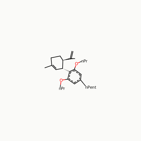 C=C(C)[C@@H]1CCC(C)=C[C@H]1c1c(OCCC)cc(CCCCC)cc1OCCC